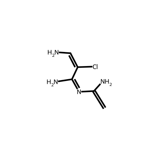 C=C(N)/N=C(N)\C(Cl)=C/N